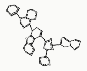 C1=CC2=CC=C(c3nc(C4=CCC(c5ccc(-c6ccccc6)c6ccccc56)c5oc6ccccc6c54)nc(-c4ccccc4)n3)CC2C=C1